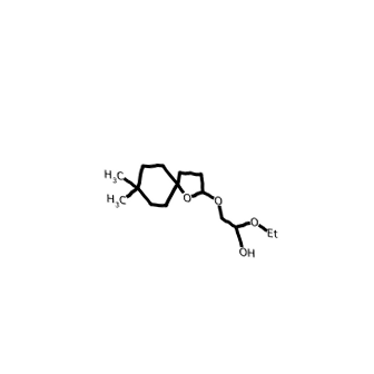 CCOC(O)COC1CCC2(CCC(C)(C)CC2)O1